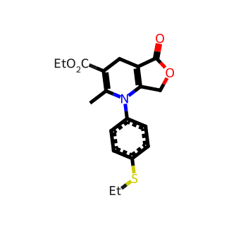 CCOC(=O)C1=C(C)N(c2ccc(SCC)cc2)C2=C(C1)C(=O)OC2